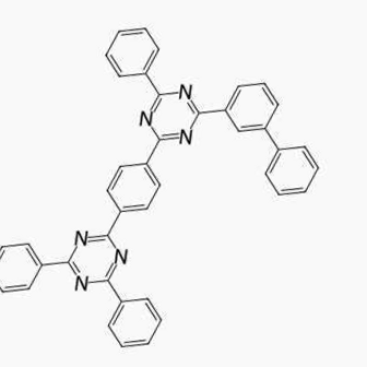 c1ccc(-c2cccc(-c3nc(-c4ccccc4)nc(-c4ccc(-c5nc(-c6ccccc6)nc(-c6ccccc6)n5)cc4)n3)c2)cc1